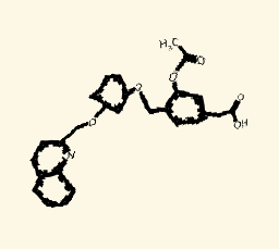 CC(=O)Oc1cc(C(=O)O)ccc1COc1cccc(OCc2ccc3ccccc3n2)c1